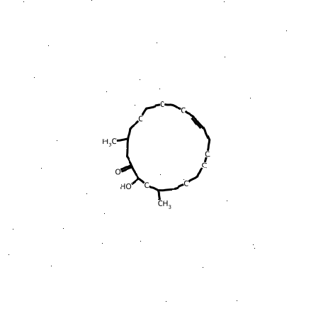 CC1CCCCCCC=CCCCCCCC(C)CC(O)C(=O)C1